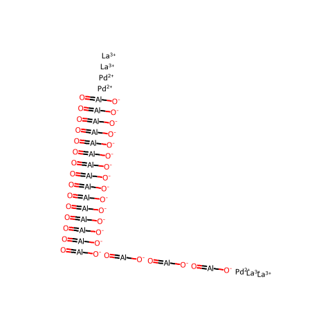 [La+3].[La+3].[La+3].[La+3].[O]=[Al][O-].[O]=[Al][O-].[O]=[Al][O-].[O]=[Al][O-].[O]=[Al][O-].[O]=[Al][O-].[O]=[Al][O-].[O]=[Al][O-].[O]=[Al][O-].[O]=[Al][O-].[O]=[Al][O-].[O]=[Al][O-].[O]=[Al][O-].[O]=[Al][O-].[O]=[Al][O-].[O]=[Al][O-].[O]=[Al][O-].[O]=[Al][O-].[Pd+2].[Pd+2].[Pd+2]